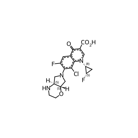 O=C(O)c1cn([C@@H]2C[C@@H]2F)c2c(Cl)c(N3C[C@@H]4NCCO[C@H]4C3)c(F)cc2c1=O